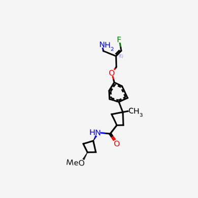 CO[C@H]1C[C@@H](NC(=O)C2CC(C)(c3ccc(OC/C(=C/F)CN)cc3)C2)C1